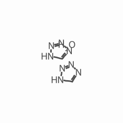 O.c1nnn[nH]1.c1nnn[nH]1